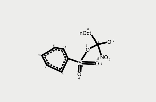 CCCCCCCCC([O])(OS(=O)(=O)c1ccccc1)[N+](=O)[O-]